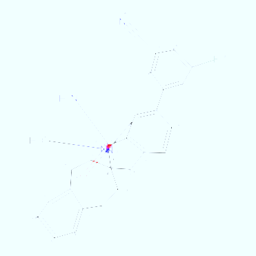 CN1C(=O)C2(N=C1N)c1cc(-c3cc(F)cc(C#N)c3)ccc1CC21CCc2ccccc2CC1